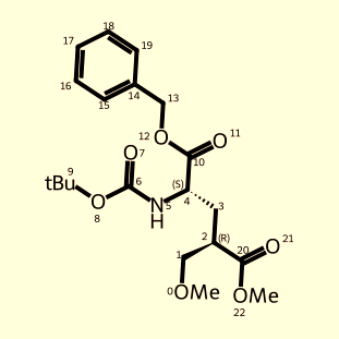 COC[C@@H](C[C@H](NC(=O)OC(C)(C)C)C(=O)OCc1ccccc1)C(=O)OC